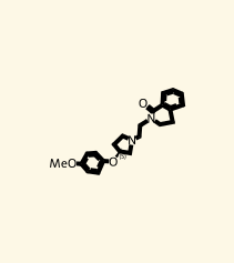 COc1ccc(O[C@H]2CCN(CCN3CCc4ccccc4C3=O)C2)cc1